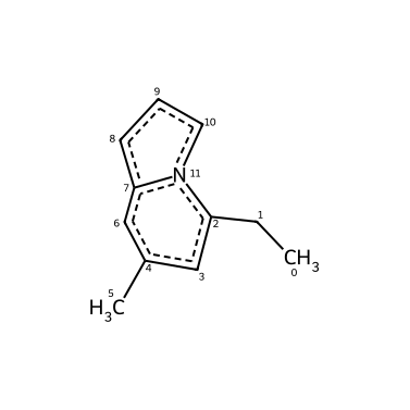 CCc1cc(C)cc2cccn12